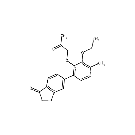 CCOc1c(C)ccc(-c2ccc3c(c2)CCC3=O)c1OCC(C)=O